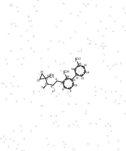 CCC1([C@H](C)[C@@H](C)Cc2cccc(-c3cccc(F)c3)c2F)CC1